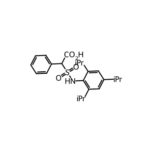 CC(C)c1cc(C(C)C)c(NS(=O)(=O)C(C(=O)O)c2ccccc2)c(C(C)C)c1